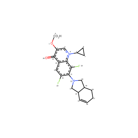 O=C(O)Oc1cn(C2CC2)c2c(F)c(N3CC4C=CCCC4C3)c(F)cc2c1=O